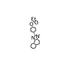 CCC(=O)Oc1ccc(-c2nc3c4ccccc4ccc3n2C)cc1